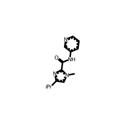 CC(C)c1cn(C)c(C(=O)Nc2cccnc2)n1